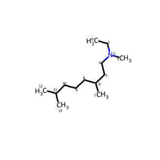 CCN(C)CCC(C)CCCC(C)C